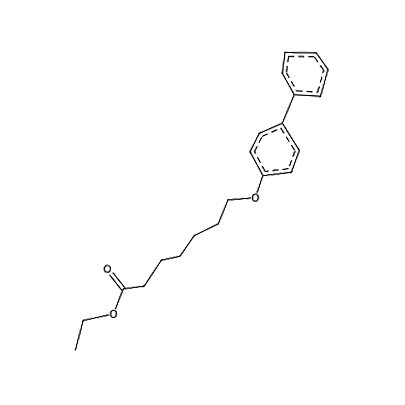 CCOC(=O)CCCCCCOc1ccc(-c2ccccc2)cc1